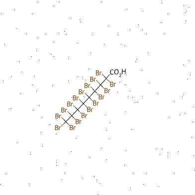 O=C(O)C(Br)(Br)C(Br)(Br)C(Br)(Br)C(Br)(Br)C(Br)(Br)C(Br)(Br)C(Br)(Br)C(Br)(Br)Br